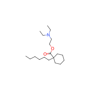 CCCCCCC1(C(=O)OCCN(CC)CC)CCCCC1